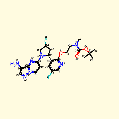 CN(CCOc1ncc(F)cc1[C@H]1C[C@H](F)CN1c1ccn2ncc(N)c2n1)C(=O)OC(C)(C)C